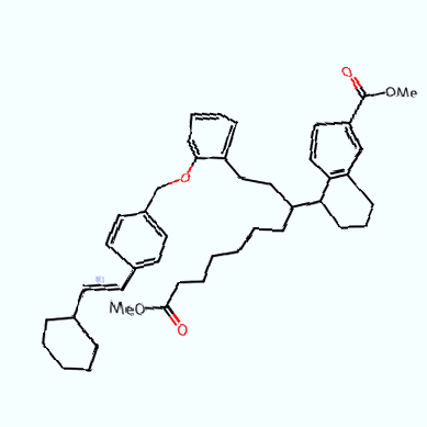 COC(=O)CCCCCCC(CCc1ccccc1OCc1ccc(/C=C/C2CCCCC2)cc1)C1CCCc2cc(C(=O)OC)ccc21